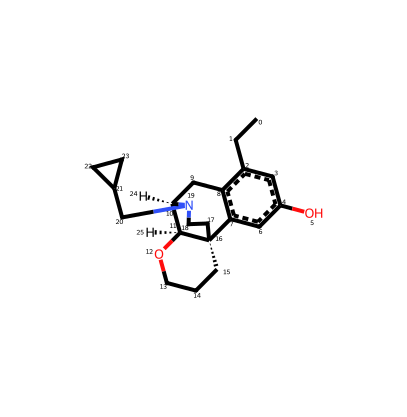 CCc1cc(O)cc2c1C[C@@H]1[C@@H]3OCCC[C@]23CCN1CC1CC1